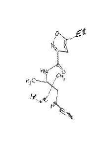 CCNCC(C)(C)C(C)NC(=O)c1cc(CC)on1